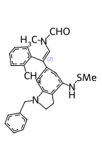 CSNc1cc(/C(=C/N(C)C=O)c2ccccc2C)cc2c1CCN2Cc1ccccc1